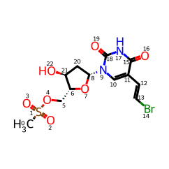 CS(=O)(=O)OC[C@H]1O[C@@H](n2cc(C=CBr)c(=O)[nH]c2=O)C[C@@H]1O